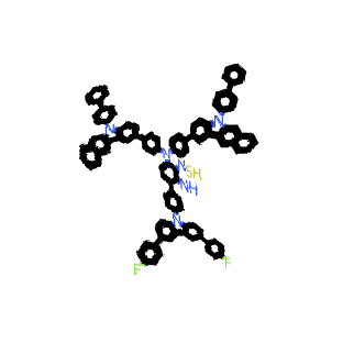 N=C1C(c2ccc(-n3c4ccc(-c5ccc(F)cc5)cc4c4cc(-c5ccc(F)cc5)ccc43)cc2)=CC=C(N(c2ccc(-c3ccc4c(c3)c3cc5ccccc5cc3n4-c3ccc(-c4ccccc4)cc3)cc2)c2ccc(-c3ccc4c(c3)c3cc5ccccc5cc3n4-c3ccc(-c4ccccc4)cc3)cc2)/C1=N/S